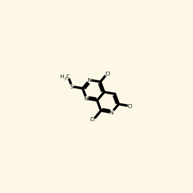 CSc1nc(Cl)c2cc(Cl)nc(Cl)c2n1